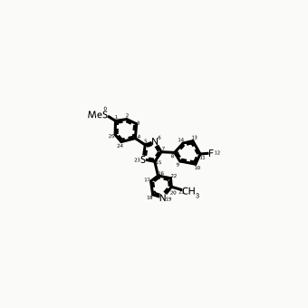 CSc1ccc(-c2nc(-c3ccc(F)cc3)c(-c3ccnc(C)c3)s2)cc1